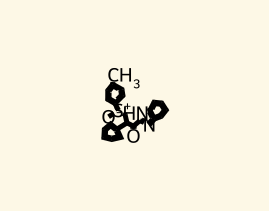 Cc1ccc([S+]([O-])CC(C(=O)c2nc3ccccc3[nH]2)c2ccccc2)cc1